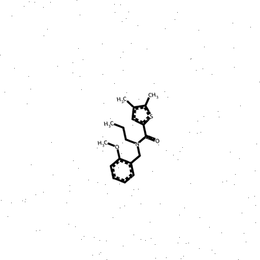 CCCN(Cc1ccccc1OC)C(=O)c1cc(C)c(C)s1